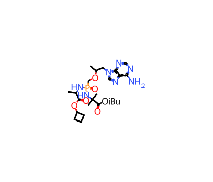 CC(C)COC(=O)C(C)(C)NP(=O)(COC(C)Cn1cnc2c(N)ncnc21)NC(C)C(=O)OC1CCC1